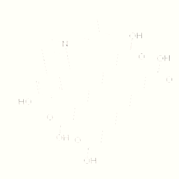 CC(C)=CCN1CCC2(C)c3cc(O)ccc3CC1C2C.O=C(O)CCCCCCCCC(=O)O.O=C(O)CCCCCCCCC(=O)O